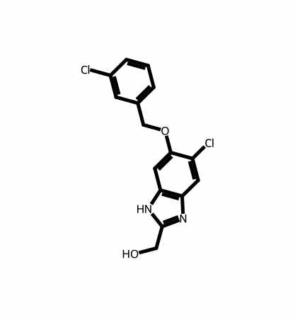 OCc1nc2cc(Cl)c(OCc3cccc(Cl)c3)cc2[nH]1